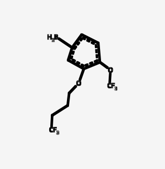 Bc1ccc(OC(F)(F)F)c(OCCCC(F)(F)F)c1